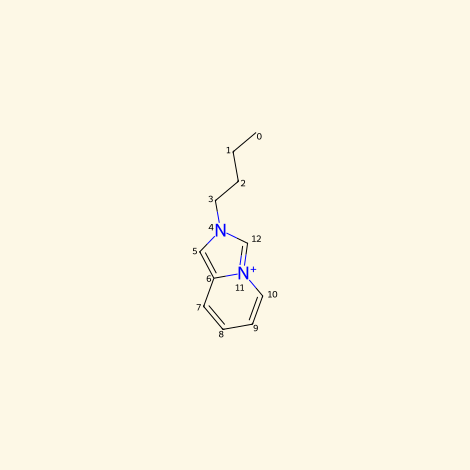 CCCCn1cc2cccc[n+]2c1